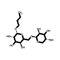 CCCCO[C@@H]1OC(CO[C@@H]2OC[C@@H](O)C(O)[C@@H]2O)[C@@H](O)C(O)[C@@H]1O